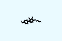 CCCCOc1ccc(-c2ccc(CC)cc2)c(C)c1C